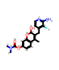 CC1=C(Cc2ccnc(N)c2F)C(O)Oc2cc(OC(=O)N(C)C)ccc21